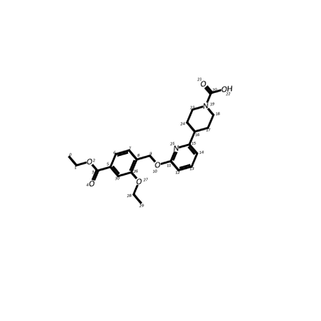 CCOC(=O)c1ccc(COc2cccc(C3CCN(C(=O)O)CC3)n2)c(OCC)c1